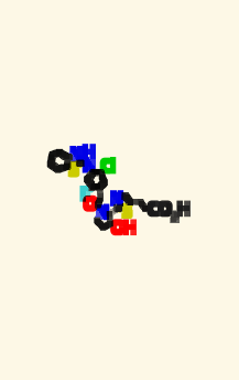 O=C(O)CCc1cnc([C@@H]2[C@@H](O)CCN2C(=O)Cc2cc(Cl)c(Nc3nc4ccccc4s3)cc2F)s1